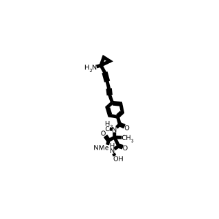 CNC(=O)C(C)(C(=O)NO)N(C)C(=O)c1ccc(C#CC#CC2(N)CC2)cc1